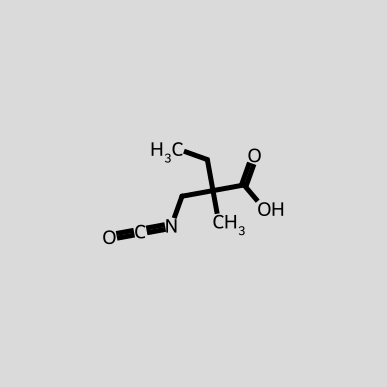 CCC(C)(CN=C=O)C(=O)O